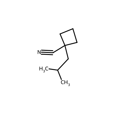 CC(C)CC1(C#N)CCC1